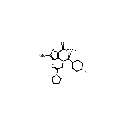 COC(=O)c1sc(C(C)(C)C)cc1N(CC(=O)N1CCCC1)C(=O)[C@H]1CC[C@H](C)CC1